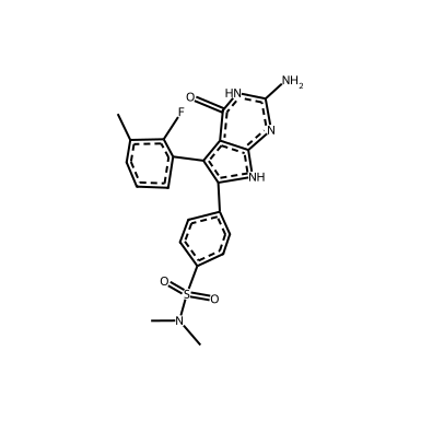 Cc1cccc(-c2c(-c3ccc(S(=O)(=O)N(C)C)cc3)[nH]c3nc(N)[nH]c(=O)c23)c1F